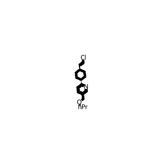 CCCOCc1ccc([C@H]2CC[C@H](/C=C/Cl)CC2)nc1